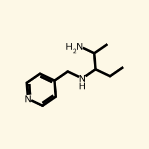 CCC(NCc1ccncc1)C(C)N